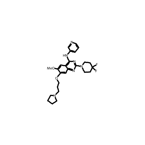 COc1cc2c(Nc3cccnc3)nc(N3CCC(F)(F)CC3)nc2cc1OCCCN1CCCC1